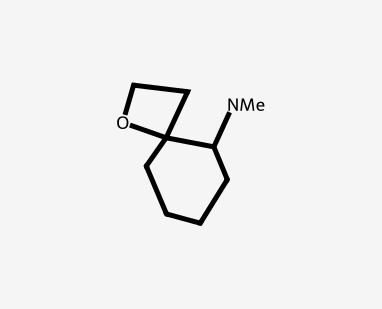 CNC1CCCCC12CCO2